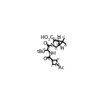 CC(=O)N1CC(C(=O)NC(C(=O)N2C[C@H]3[C@@H]([C@H]2C(=O)O)C3(C)C)C(C)(C)C)C1